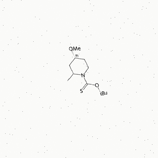 CO[C@@H]1CCN(C(=S)OC(C)(C)C)C(C)C1